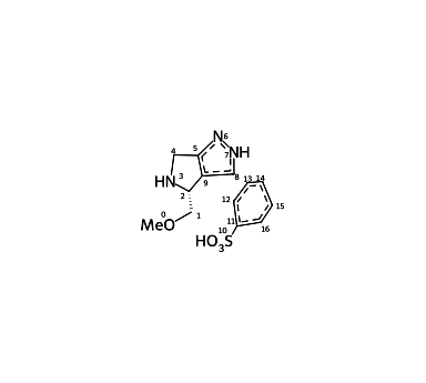 COC[C@@H]1NCc2n[nH]cc21.O=S(=O)(O)c1ccccc1